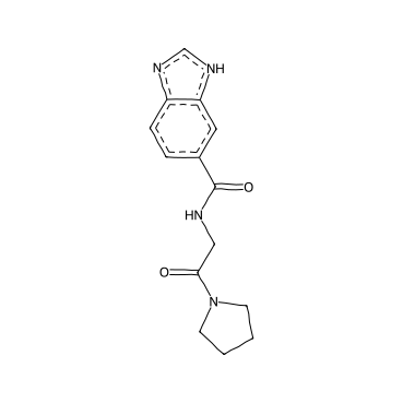 O=C(NCC(=O)N1CCCC1)c1ccc2nc[nH]c2c1